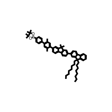 CCCCCCCCC1(CCCCCCCC)c2ccccc2-c2ccc(-c3ccc4c(c3)C(C)(C)c3cc(-c5cc(C)c(-c6ccc(B7OC(C)(C)C(C)(C)O7)cc6)cc5C)ccc3-4)cc21